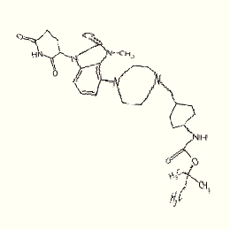 Cn1c(=O)n(C2CCC(=O)NC2=O)c2cccc(N3CCN(CC4CCC(NC(=O)OC(C)(C)C)CC4)CC3)c21